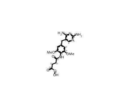 COc1cc(Cc2cnc(N)nc2N)cc(OC)c1NC(=O)CCC(=O)OO